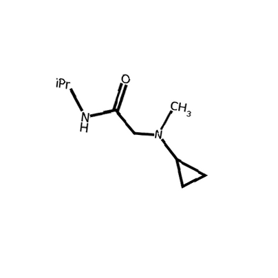 CC(C)NC(=O)CN(C)C1CC1